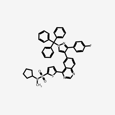 CN(C1CCCC1)S(=O)(=O)c1ccc(-c2ncnc3ccc(-c4cn(C(c5ccccc5)(c5ccccc5)c5ccccc5)nc4-c4ccc(F)cc4)cc23)s1